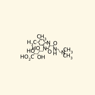 Cc1cc2nc(C(=O)NCCN(C)C)c(=O)n(C[C@H](O)[C@H](O)[C@H](O)C(=O)O)c2cc1C